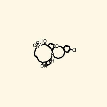 C[C@H]1/C=C/CC(O)[C@@H]2CC[C@H]2CN2CCCCc3cc(Cl)ccc3COc3ccc(cc32)C(=O)NS(=O)(=O)C1